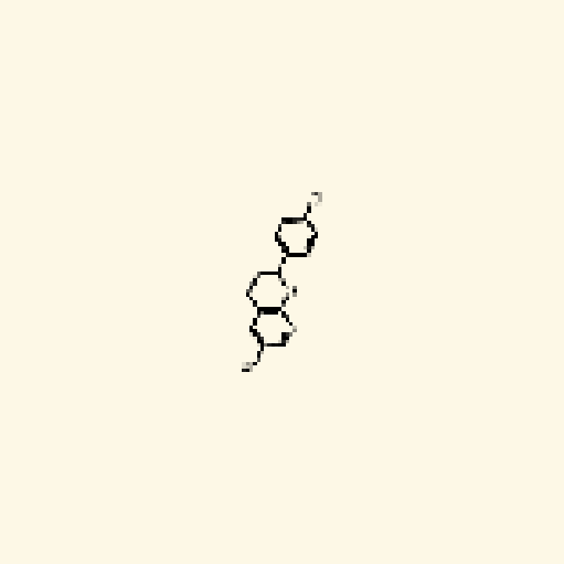 Clc1ccc(C2CCc3cc(Br)cnc3O2)cc1